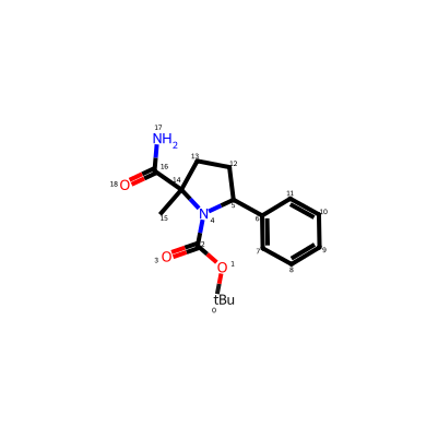 CC(C)(C)OC(=O)N1C(c2ccccc2)CCC1(C)C(N)=O